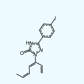 C=C/C(=C\C=C/C)n1nc(-c2ccc(I)cc2)[nH]c1=O